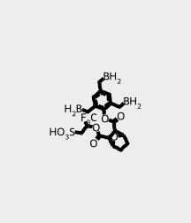 BCc1cc(CB)c(OC(=O)C2C3CCC(O3)C2C(=O)OC(CS(=O)(=O)O)C(F)(F)F)c(CB)c1